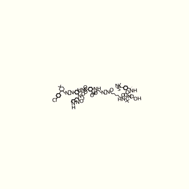 Cc1ncsc1-c1ccc([C@H](C)NC(=O)[C@@H]2C[C@@H](O)CN2C(=O)[C@@H](NC(=O)CCCCCC(=O)N2CCN(CCCNc3ccc(S(=O)(=O)NC(=O)c4ccc(N5CCN(CC6=C(c7ccc(Cl)cc7)CC(C)(C)CC6)CC5)cc4N4CCCOc5nc6[nH]ccc6cc54)cc3[N+](=O)[O-])CC2)C(C)(C)C)cc1